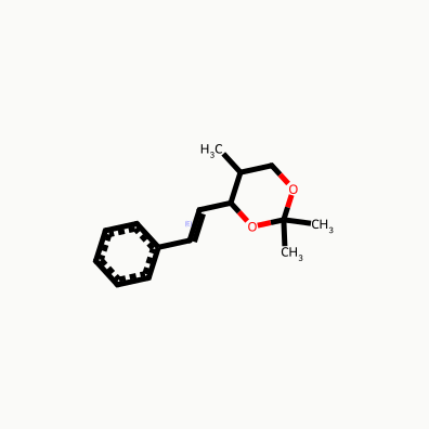 CC1COC(C)(C)OC1/C=C/c1ccccc1